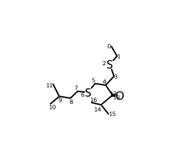 CCSCC(CSCCC(C)C)C(=O)C(C)C